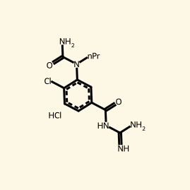 CCCN(C(N)=O)c1cc(C(=O)NC(=N)N)ccc1Cl.Cl